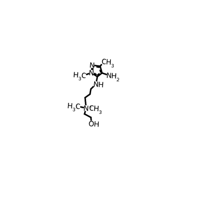 Cc1nn(C)c(NCCC[N+](C)(C)CCO)c1N